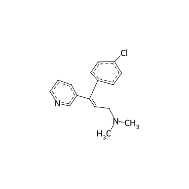 CN(C)C/C=C(\c1ccc(Cl)cc1)c1cccnc1